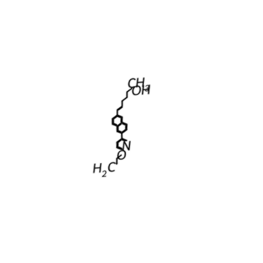 C=CCOc1ccc(-c2ccc3cc(C=CCCCC(C)O)ccc3c2)cn1